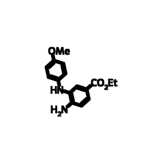 CCOC(=O)c1ccc(N)c(Nc2ccc(OC)cc2)c1